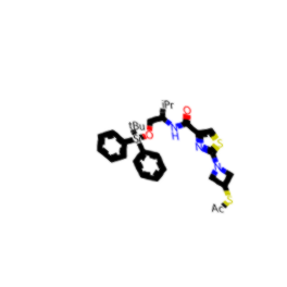 CC(=O)SC1CN(c2nc(C(=O)NC(CO[Si](c3ccccc3)(c3ccccc3)C(C)(C)C)C(C)C)cs2)C1